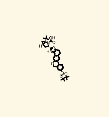 CC1(C)OB(c2ccc3c(c2)COc2cc4c(ccc5nc([C@@H]6C[C@@H]7C[C@@]7(C(C)(C)C)N6C(=O)O)[nH]c54)cc2-3)OC1(C)C